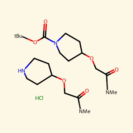 CNC(=O)COC1CCN(C(=O)OC(C)(C)C)CC1.CNC(=O)COC1CCNCC1.Cl